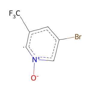 [O-][n+]1[c]c(C(F)(F)F)cc(Br)c1